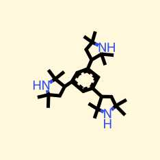 CC1(C)CC(c2cc(C3CC(C)(C)NC3(C)C)cc(C3CC(C)(C)NC3(C)C)c2)C(C)(C)N1